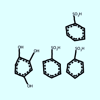 O=S(=O)(O)c1ccccc1.O=S(=O)(O)c1ccccc1.O=S(=O)(O)c1ccccc1.Oc1ccc(O)c(O)c1